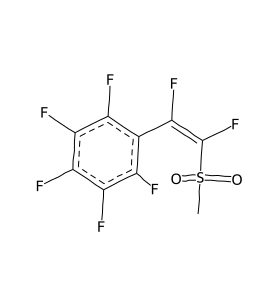 CS(=O)(=O)/C(F)=C(/F)c1c(F)c(F)c(F)c(F)c1F